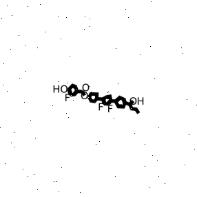 CCCC(O)c1ccc(-c2ccc(C3CCC(OC(=O)c4ccc(O)c(F)c4)CC3)c(F)c2F)cc1